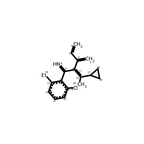 C=CC(=C)/C(C(=N)c1c(Cl)cccc1CC)=C(/C)C1CC1